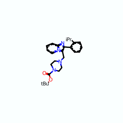 CC(C)c1ccccc1-c1nc2ccccn2c1CN1CCN(C(=O)OC(C)(C)C)CC1